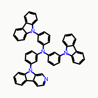 c1cc(N(c2cccc(-n3c4ccccc4c4ccccc43)c2)c2cccc(-n3c4ccccc4c4ccncc43)c2)cc(-n2c3ccccc3c3ccccc32)c1